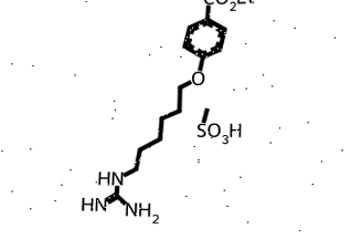 CCOC(=O)c1ccc(OCCCCCCNC(=N)N)cc1.CS(=O)(=O)O